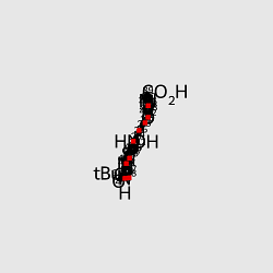 CC1(NC(=O)OC(C)(C)C)C=CN(c2cnc(Sc3cccc(NC(O)CCCCCCCOC4CCN(c5ncc(C(=O)O)cn5)CC4)c3)cn2)C=C1